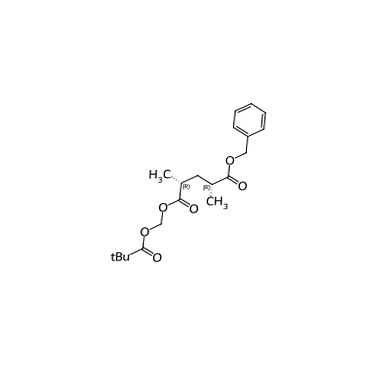 C[C@H](C[C@@H](C)C(=O)OCc1ccccc1)C(=O)OCOC(=O)C(C)(C)C